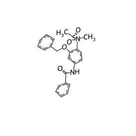 CN(c1ccc(NC(=O)c2ccccc2)cc1OCc1ccccc1)S(C)(=O)=O